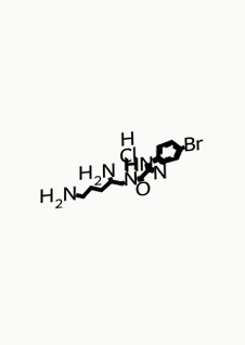 Cl.NCCCC(N)CNC(=O)c1nc2cc(Br)ccc2[nH]1